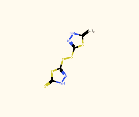 C=C1NN=C(SSc2n[nH]c(=S)s2)S1